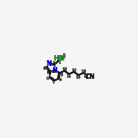 Br.Cc1ncc2cccc(CCCCCC#N)n12